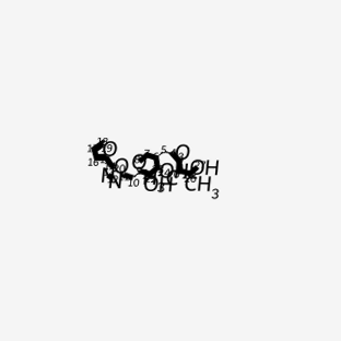 C[C@H]([C@@H]1O[C@H]1C[C@H]1CO[C@@H](Cc2nnc(-c3ccco3)o2)[C@H](O)[C@@H]1O)[C@H](C)O